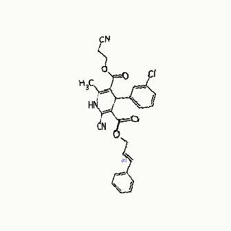 CC1=C(C(=O)OCCC#N)C(c2cccc(Cl)c2)C(C(=O)OC/C=C/c2ccccc2)=C(C#N)N1